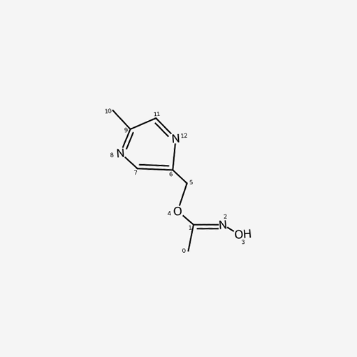 CC(=NO)OCc1cnc(C)cn1